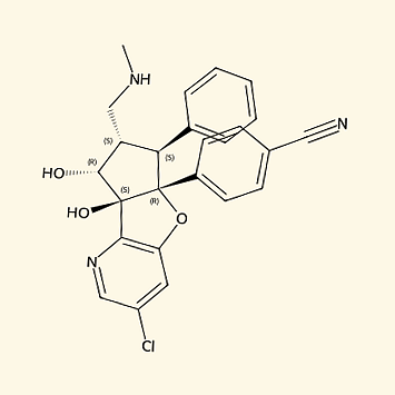 CNC[C@H]1[C@@H](O)[C@@]2(O)c3ncc(Cl)cc3O[C@@]2(c2ccc(C#N)cc2)[C@@H]1c1ccccc1